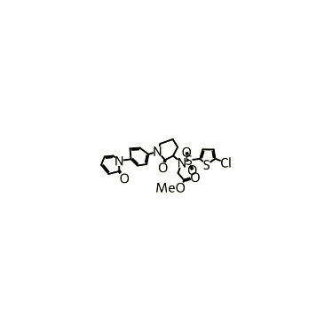 COC(=O)CN(C1CCCN(c2ccc(-n3ccccc3=O)cc2)C1=O)S(=O)(=O)c1ccc(Cl)s1